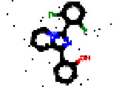 Oc1ccccc1-c1nc(-c2c(F)cccc2F)n2ccccc12